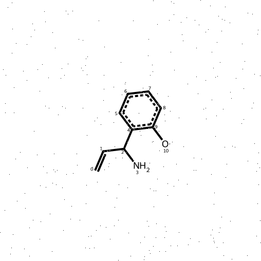 C=CC(N)c1ccccc1[O]